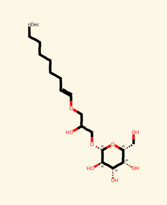 CCCCCCCCCCCCCCCCC=COCC(O)CO[C@@H]1O[C@H](CO)[C@H](O)[C@H](O)[C@H]1O